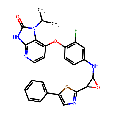 CC(C)n1c(=O)[nH]c2nccc(Oc3ccc(NC4OC4c4ncc(-c5ccccc5)s4)cc3F)c21